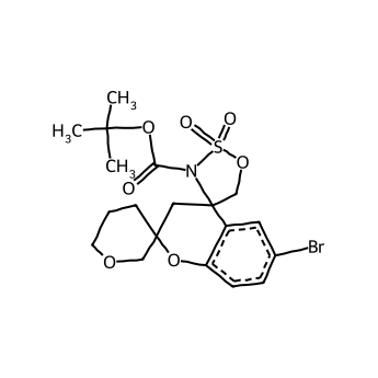 CC(C)(C)OC(=O)N1C2(COS1(=O)=O)CC1(CCCOC1)Oc1ccc(Br)cc12